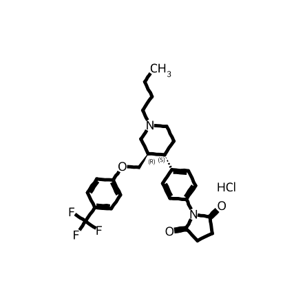 CCCCN1CC[C@H](c2ccc(N3C(=O)CCC3=O)cc2)[C@@H](COc2ccc(C(F)(F)F)cc2)C1.Cl